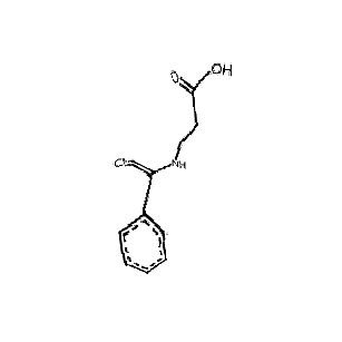 O=C(O)CCNC(=O)c1[c]cccc1